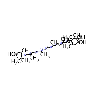 CC1=C(/C=C/C(C)=C/C=C/C(C)=C/C=C/C=C(C)/C=C/C=C(C)/C=C/C2=C(C)C[C@@H](O)[C@H](O)C2(C)C)C(C)(C)C[C@H](O)C1